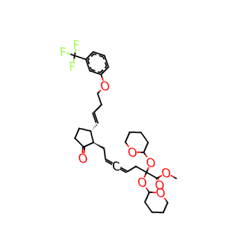 COC(=O)C(CC=C=CC[C@H]1C(=O)CC[C@@H]1/C=C/CCOc1cccc(C(F)(F)F)c1)(OC1CCCCO1)OC1CCCCO1